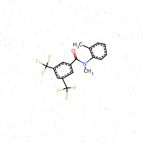 Cc1ccccc1N(C)C(=O)c1cc(C(F)(F)F)cc(C(F)(F)F)c1